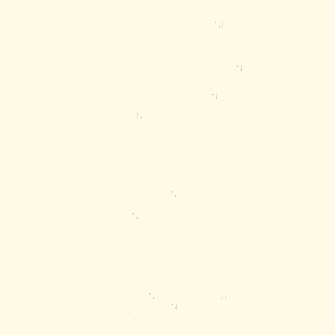 Cc1ccc2c(Nc3ccc4c(C(C)(C)C)nn(C(=O)O)c4c3)nccc2c1NC(=O)c1csc2c(N)ncnc12